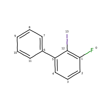 Fc1cccc(-c2ccccc2)c1I